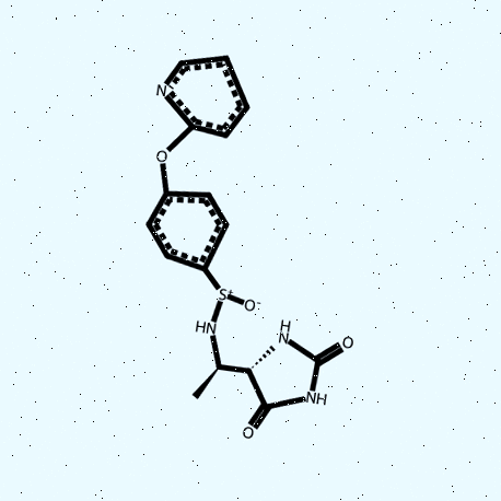 C[C@@H](N[S+]([O-])c1ccc(Oc2ccccn2)cc1)[C@@H]1NC(=O)NC1=O